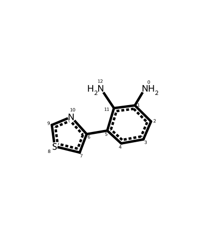 Nc1cccc(-c2cscn2)c1N